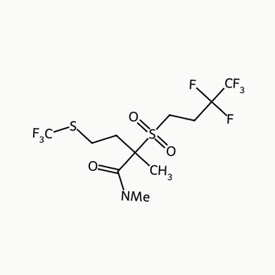 CNC(=O)C(C)(CCSC(F)(F)F)S(=O)(=O)CCC(F)(F)C(F)(F)F